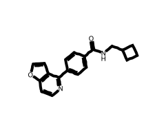 O=C(NCC1CCC1)c1ccc(-c2nccc3occc23)cc1